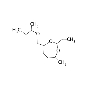 CCC(C)OCC1CCC(C)OC(CC)O1